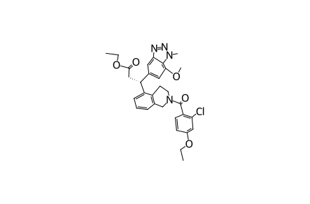 CCOC(=O)C[C@H](c1cc(OC)c2c(c1)nnn2C)c1cccc2c1CCN(C(=O)c1ccc(OCC)cc1Cl)C2